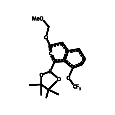 COCOc1cc(B2OC(C)(C)C(C)(C)O2)c2c(OC(F)(F)F)cccc2c1